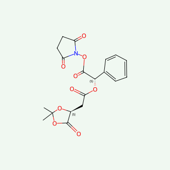 CC1(C)OC(=O)[C@H](CC(=O)O[C@H](C(=O)ON2C(=O)CCC2=O)c2ccccc2)O1